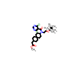 COC(=O)CC1CCC2(CC1)CCC(N(CCO[Si](C)(C)C(C)(C)C)C(=O)c1c(Cl)ncnc1Cl)CC2